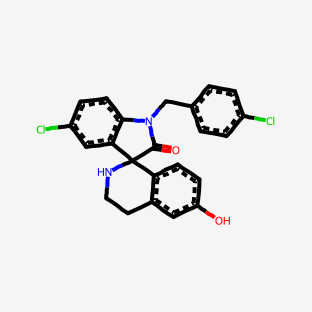 O=C1N(Cc2ccc(Cl)cc2)c2ccc(Cl)cc2C12NCCc1cc(O)ccc12